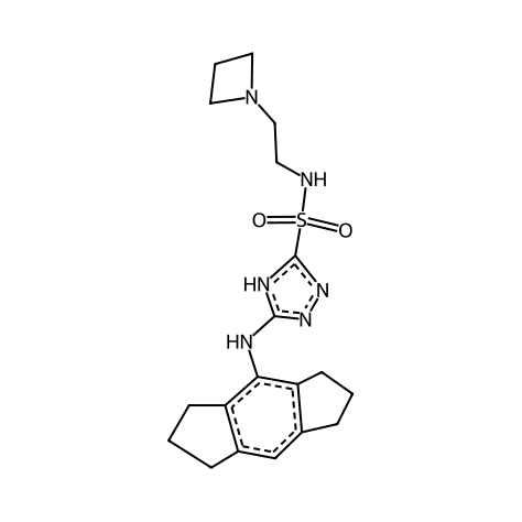 O=S(=O)(NCCN1CCC1)c1nnc(Nc2c3c(cc4c2CCC4)CCC3)[nH]1